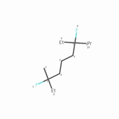 CCC(C)(F)CCCC(F)(CC)C(C)C